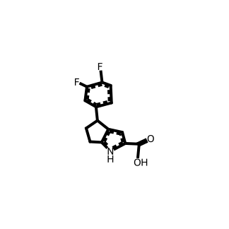 O=C(O)c1cc2c([nH]1)CCC2c1ccc(F)c(F)c1